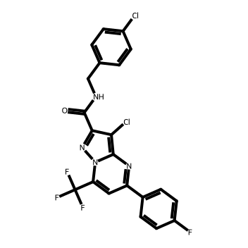 O=C(NCc1ccc(Cl)cc1)c1nn2c(C(F)(F)F)cc(-c3ccc(F)cc3)nc2c1Cl